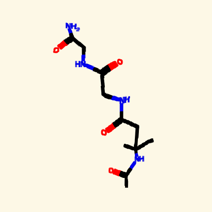 CC(=O)NC(C)(C)CC(=O)NCC(=O)NCC(N)=O